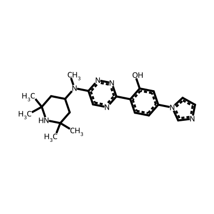 CN(c1cnc(-c2ccc(-n3ccnc3)cc2O)nn1)C1CC(C)(C)NC(C)(C)C1